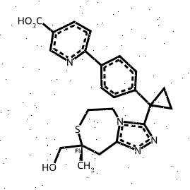 C[C@]1(CO)Cc2nnc(C3(c4ccc(-c5ccc(C(=O)O)cn5)cc4)CC3)n2CCS1